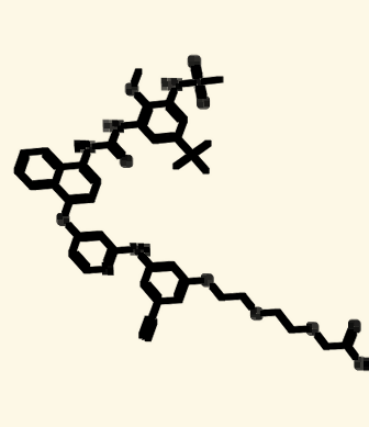 C#Cc1cc(Nc2cc(Oc3ccc(NC(=O)Nc4cc(C(C)(C)C)cc(NS(C)(=O)=O)c4OC)c4ccccc34)ccn2)cc(OCCOCCOCC(=O)O)c1